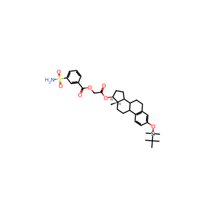 CC(C)(C)[Si](C)(C)Oc1ccc2c(c1)CCC1C2CC[C@@]2(C)C1CC[C@@H]2OC(=O)COC(=O)c1cccc(S(N)(=O)=O)c1